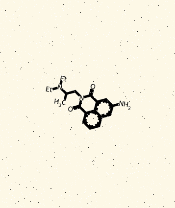 CCN(CC)C(C)CN1C(=O)c2cccc3cc(N)cc(c23)C1=O